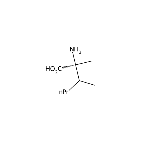 CCCC(C)[C@](C)(N)C(=O)O